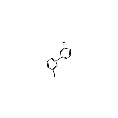 CCc1cccc(-c2cccc(I)c2)c1